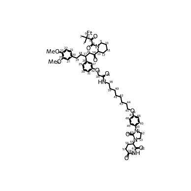 CCC(C)(C)C(=O)C(=O)N1CCCCC1C(=O)CC(CCc1ccc(OC)c(OC)c1)c1cccc(OCC(=O)NCCCCCCCCOc2ccc(N3CCN(C4CCC(=O)NC4=O)C3=O)cc2)c1